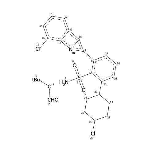 CC(C)(C)OC=O.NS(=O)(=O)c1c(-c2c3c4cccc(Cl)c4n2-3)cccc1C1CCC(Cl)CC1